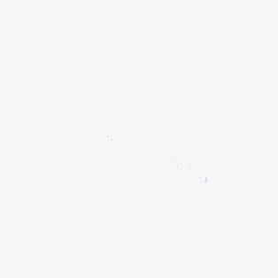 Cc1cc(N)nc(CCCCNC(=O)CC2CCSS2)c1